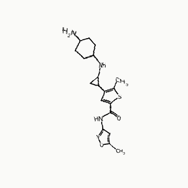 Cc1cc(NC(=O)c2cc(C3CC3NC3CCC(N)CC3)c(C)s2)no1